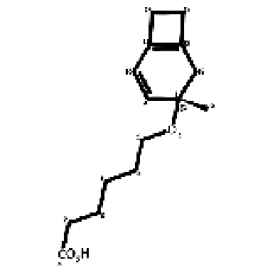 C[C@@]1(OCCCCCC(=O)O)C=CC2=C(CC2)C1